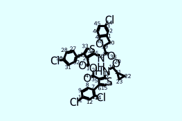 O=C(OC(=O)c1c(-c2ccc(Cl)cc2Cl)csc1NC(=O)C1CC1)c1c(-c2ccc(Cl)cc2)csc1NC(=O)C1Cc2cc(Cl)ccc2O1